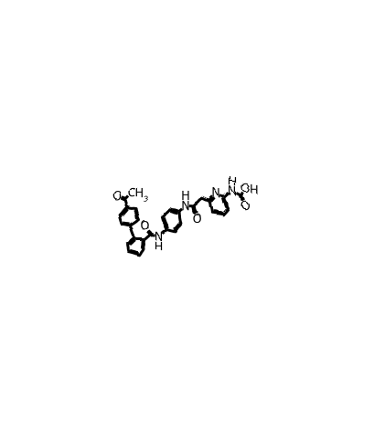 CC(=O)c1ccc(-c2ccccc2C(=O)Nc2ccc(NC(=O)Cc3cccc(NC(=O)O)n3)cc2)cc1